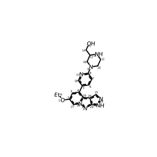 CCOc1cc(-c2ccc(N3CCNC(CO)C3)nc2)c2c3cn[nH]c3nn2c1